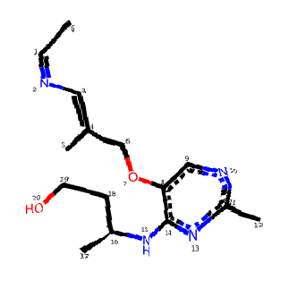 C/C=N\C=C(/C)COc1cnc(C)nc1N[C@@H](C)CCO